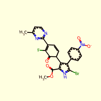 COC(=O)c1[nH]c(Br)c(-c2ccc([N+](=O)[O-])cc2)c1C1C=CC(c2nccc(C)n2)=C(F)C1=O